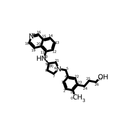 Cc1ccc(CN2CC[C@@H](Nc3cccc4cnccc34)C2)cc1CCCO